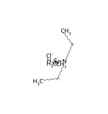 CCCCCCCC/C=C\CCCCCCCCN(CCCCCCCC/C=C\CCCCCCCC)CCC[N+](C)(C)C.[Cl-]